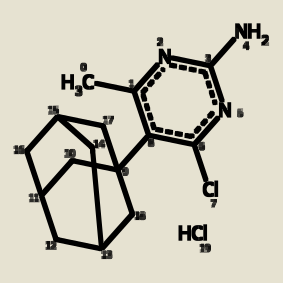 Cc1nc(N)nc(Cl)c1C12CC3CC(CC(C3)C1)C2.Cl